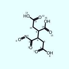 O=NC(=O)C(CC(=O)O)C(CC(=O)O)C(=O)O